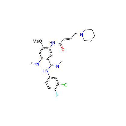 C=Nc1cc(OC)c(NC(=O)/C=C/CN2CCCCC2)cc1/C(=N\C)Nc1ccc(F)c(Cl)c1